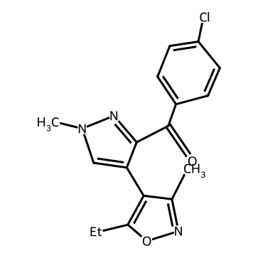 CCc1onc(C)c1-c1cn(C)nc1C(=O)c1ccc(Cl)cc1